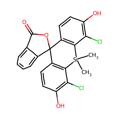 C[Si]1(C)c2c(ccc(O)c2Cl)C2(OC(=O)c3ccccc32)c2ccc(O)c(Cl)c21